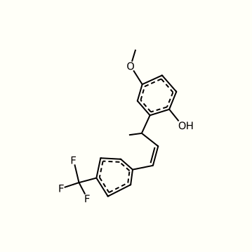 COc1ccc(O)c(C(C)/C=C\c2ccc(C(F)(F)F)cc2)c1